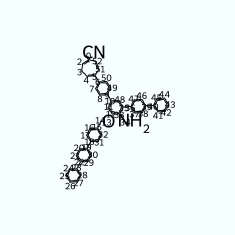 N#CC1=CCC=C(c2ccc(-c3cc(OCc4ccc(-c5ccc(-c6ccccc6)cc5)cc4)c(N)c(-c4ccc(-c5ccccc5)cc4)c3)cc2)C=C1